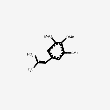 COc1cc(/C=C(\C(=O)O)C(F)(F)F)cc(OC)c1OC